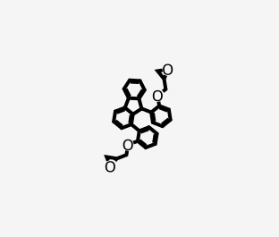 c1ccc(-c2cccc3c2C(c2ccccc2OCC2CO2)c2ccccc2-3)c(OCC2CO2)c1